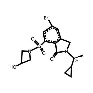 C[C@@H](C1CC1)N1Cc2cc(Br)cc(S(=O)(=O)N3CC(O)C3)c2C1=O